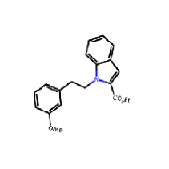 CCOC(=O)c1cc2ccccc2n1CCc1cccc(OC)c1